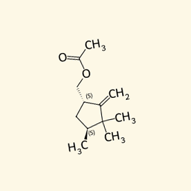 C=C1[C@@H](COC(C)=O)C[C@H](C)C1(C)C